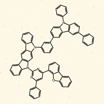 c1ccc(-c2ccc3c(c2)c2cc(-c4cccc(-n5c6ccccc6c6cc7c8ccccc8n(-c8nc(-c9ccccc9)cc(-c9cccc%10c9oc9ccccc9%10)n8)c7cc65)c4)ccc2n3-c2ccccc2)cc1